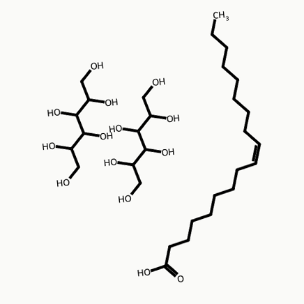 CCCCCCCC/C=C\CCCCCCCC(=O)O.OCC(O)C(O)C(O)C(O)CO.OCC(O)C(O)C(O)C(O)CO